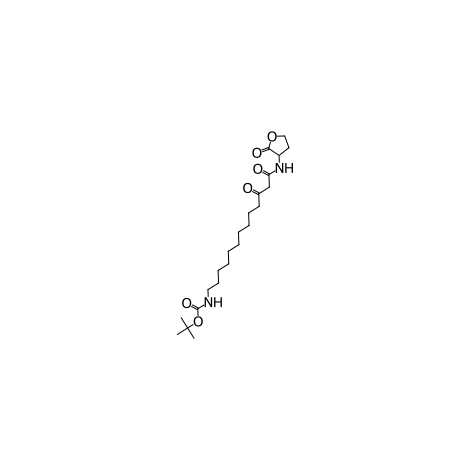 CC(C)(C)OC(=O)NCCCCCCCCCCC(=O)CC(=O)NC1CCOC1=O